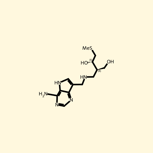 CSC[C@@H](O)[C@@H](CO)CNCc1c[nH]c2c(N)ncnc12